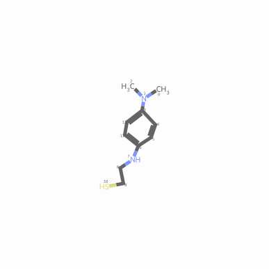 CN(C)c1ccc(NCCS)cc1